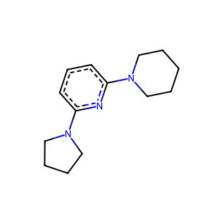 c1cc(N2CCCCC2)nc(N2CCCC2)c1